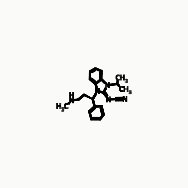 CNCC[C@H](c1ccccc1)n1/c(=N/C#N)n(C(C)C)c2ccccc21